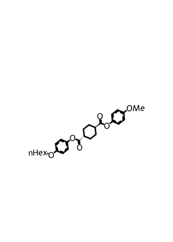 CCCCCCOc1ccc(OC(=O)[C@H]2CC[C@H](C(=O)Oc3ccc(OC)cc3)CC2)cc1